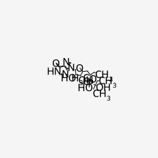 CCC(C)(CC1O[C@@H](n2cnc3c(=O)[nH]cnc32)[C@H](O)[C@@H]1O)OP(=O)(O)C(O)(CC)CC